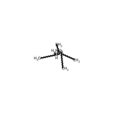 CCCCCCCCCCCCCCC(=O)N[C@H]1C[C@@H](C(=O)N(CCCCCCCCCCCC)CCCCCCCCCCCC)N(C(=O)[C@H](N)CCCCN)C1